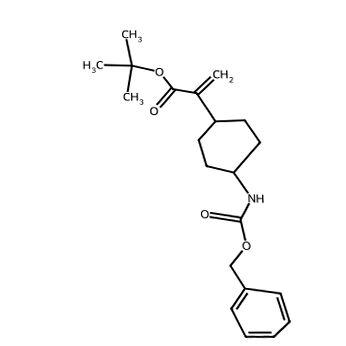 C=C(C(=O)OC(C)(C)C)C1CCC(NC(=O)OCc2ccccc2)CC1